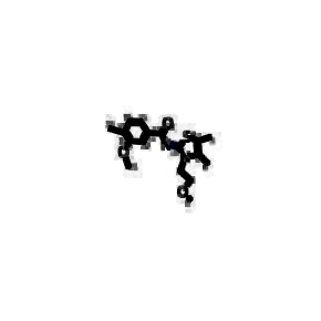 COCCn1c(C)c(C)s/c1=N\C(=O)c1ccc(C)c(OC)c1